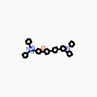 c1ccc(-c2nc(-c3ccccc3)nc(-c3ccc4c(c3)oc3cc(-c5ccc(-c6ccc7c(c6)c6ccccc6n7-c6ccccc6)cc5)ccc34)n2)cc1